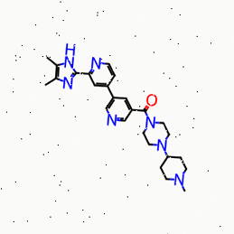 Cc1nc(-c2cc(-c3cncc(C(=O)N4CCN(C5CCN(C)CC5)CC4)c3)ccn2)[nH]c1C